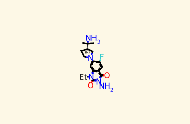 CCn1c(=O)n(N)c(=O)c2cc(F)c(N3CC[C@@H](C(C)(C)N)C3)cc21